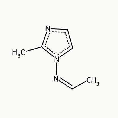 C/C=N\n1ccnc1C